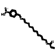 C=CC(=O)OCCCCCCCCCCCSCc1ccc(B(O)O)cc1